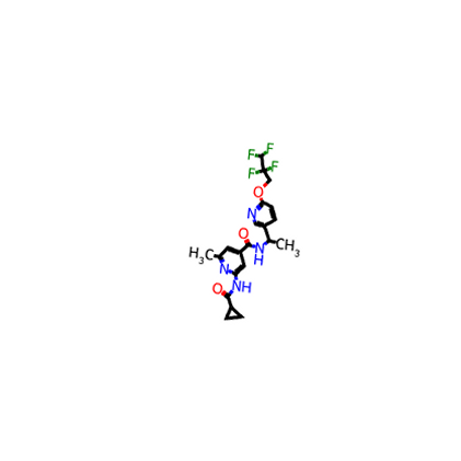 Cc1cc(C(=O)NC(C)c2ccc(OCC(F)(F)C(F)F)nc2)cc(NC(=O)C2CC2)n1